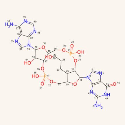 Nc1nc2c(ncn2C2OC3COP(=O)(O)OC4C(COP(=O)(O)OC2C3CCCO)OC(n2cnc3c(N)ncnc32)C4O)c(=O)[nH]1